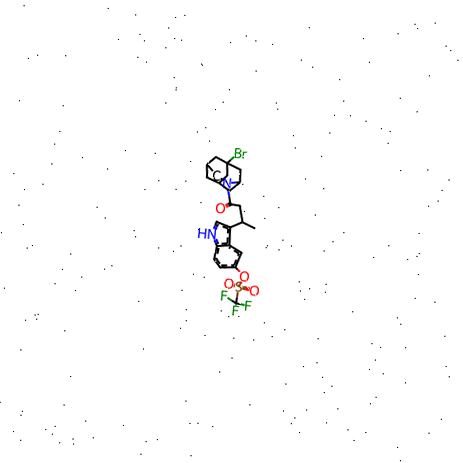 CC(CC(=O)N1CC2CC3CC1CC(Br)(C3)C2)c1c[nH]c2ccc(OS(=O)(=O)C(F)(F)F)cc12